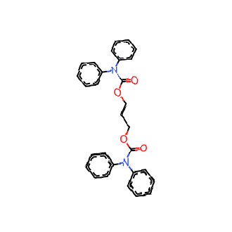 O=C(OCCCOC(=O)N(c1ccccc1)c1ccccc1)N(c1ccccc1)c1ccccc1